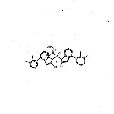 CCC(C)C1=Cc2c(-c3cccc(C)c3C)cccc2[CH]1[Zr]([Cl])([Cl])([B](NC=O)NC=O)[CH]1C(C(C)CC)=Cc2c(-c3cccc(C)c3C)cccc21